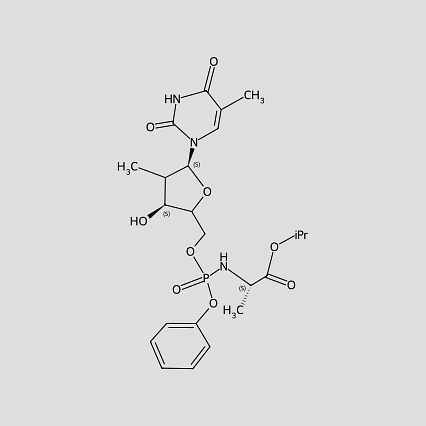 Cc1cn([C@H]2OC(COP(=O)(N[C@@H](C)C(=O)OC(C)C)Oc3ccccc3)[C@@H](O)C2C)c(=O)[nH]c1=O